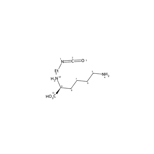 CCN=C=O.NCCCC[C@H](N)C(=O)O